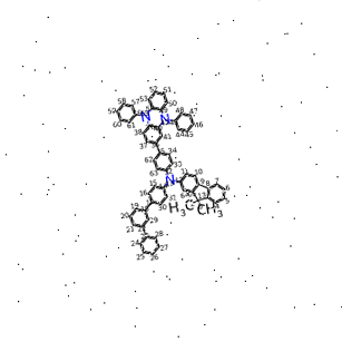 CC1(C)c2ccccc2-c2ccc(N(c3ccc(-c4cccc(-c5ccccc5)c4)cc3)c3ccc(-c4ccc5c(c4)N(c4ccccc4)c4ccccc4N5c4ccccc4)cc3)cc21